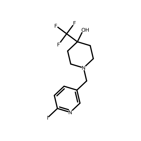 OC1(C(F)(F)F)CCN(Cc2ccc(I)nc2)CC1